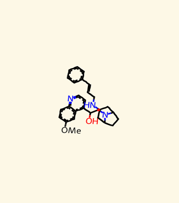 COc1ccc2nccc(C(O)CN3C4CCC3CC(NC/C=C/c3ccccc3)C4)c2c1